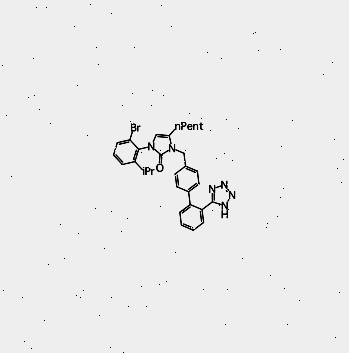 CCCCCc1cn(-c2c(Br)cccc2C(C)C)c(=O)n1Cc1ccc(-c2ccccc2-c2nnn[nH]2)cc1